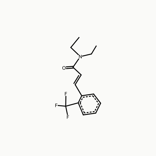 CCN(CC)C(=O)/C=C/c1ccccc1C(F)(F)F